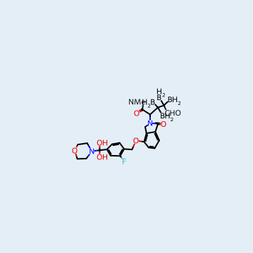 BC(B)(C=O)C(B)(B)C(C(=O)NC)N1Cc2c(OCc3ccc(C(O)(O)N4CCOCC4)cc3F)cccc2C1=O